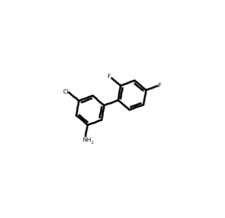 Nc1cc(Cl)cc(-c2ccc(F)cc2F)c1